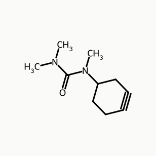 CN(C)C(=O)N(C)C1CC#CCC1